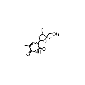 Cc1cn(C2C[C@H](F)[C@@](F)(CO)O2)c(=O)[nH]c1=O